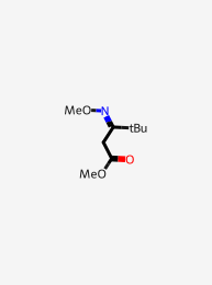 CON=C(CC(=O)OC)C(C)(C)C